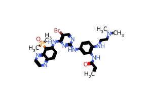 C=CC(=O)Nc1cc(Nc2ncc(Br)c(Nc3ccc4nccnc4c3P(C)(C)=O)n2)ccc1NCCN(C)C